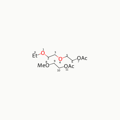 CCOCCOCCOC(C)=O.COCCOC(C)=O